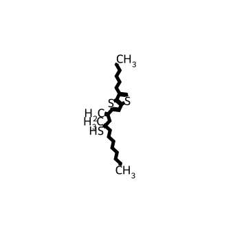 C=C(CC(C)(S)CCCCCCCC)c1cc2scc(CCCCCC)c2s1